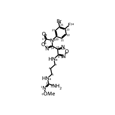 CO/N=C(\N)NCCCNc1nonc1-c1noc(=O)n1-c1ccc(F)c(Br)c1